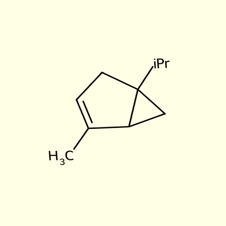 CC1=CCC2(C(C)C)CC12